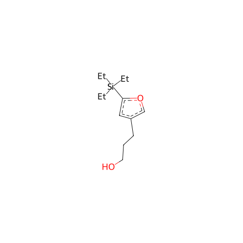 CC[Si](CC)(CC)c1cc(CCCO)co1